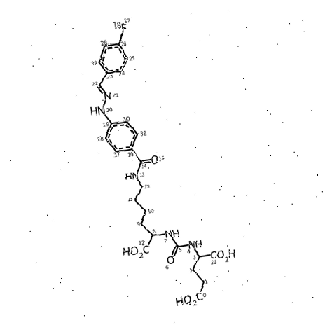 O=C(O)CCC(NC(=O)NC(CCCCNC(=O)c1ccc(NN=Cc2ccc([18F])cc2)cc1)C(=O)O)C(=O)O